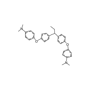 CCC(c1ccc(Oc2ccc(N(C)C)cc2)cc1)c1ccc(Oc2ccc(N(C)C)cc2)cc1